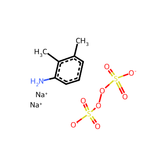 Cc1cccc(N)c1C.O=S(=O)([O-])OOS(=O)(=O)[O-].[Na+].[Na+]